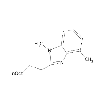 CCCCCCCCCCc1nc2c(C)cccc2n1C